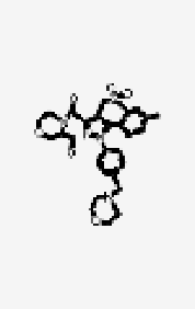 Cc1ccc2c(c1)S(=O)(=O)Cc1c(C(=O)N3CCOCC3C=O)nn(-c3ccc(CN4CCOCC4)cc3)c1-2